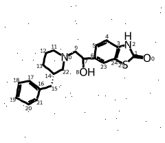 O=c1[nH]c2ccc(C(O)CN3CCC[C@@H](Cc4ccccc4)C3)cc2s1